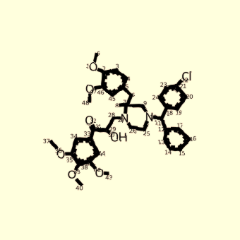 COc1ccc(CC2(C)CN(C(c3ccccc3)c3ccc(Cl)cc3)CCN2CC(O)C(=O)c2cc(OC)c(OC)c(OC)c2)cc1OC